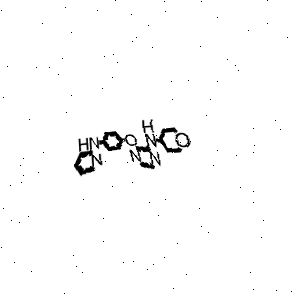 c1ccc(Nc2ccc(Oc3nccnc3NC3CCOCC3)cc2)nc1